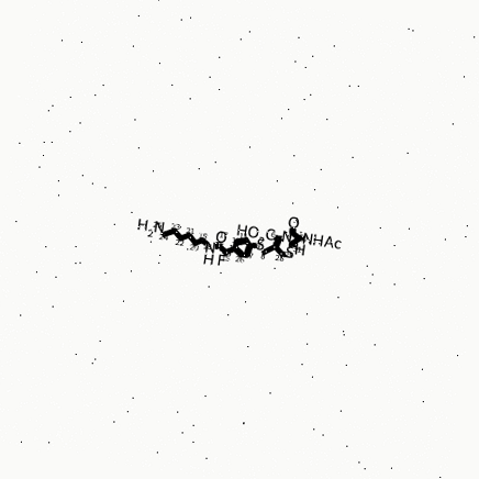 CC(=O)N[C@@H]1C(=O)N2C(C(=O)O)=C(CSc3ccc(C(F)C(=O)NCCCCCCN)cc3)CS[C@H]12